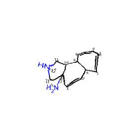 NC12C=CC3C=CC=CC3C1CNC2